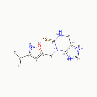 CC(C)c1cc(CN2C(=S)NCc3[nH]cnc32)on1